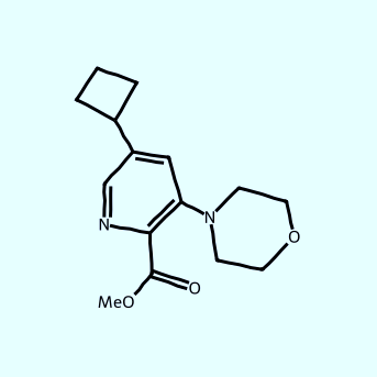 COC(=O)c1ncc(C2CCC2)cc1N1CCOCC1